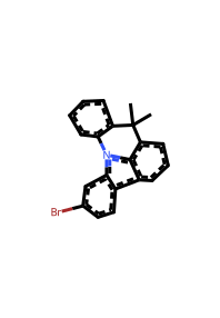 CC1(C)c2ccccc2-n2c3cc(Br)ccc3c3cccc1c32